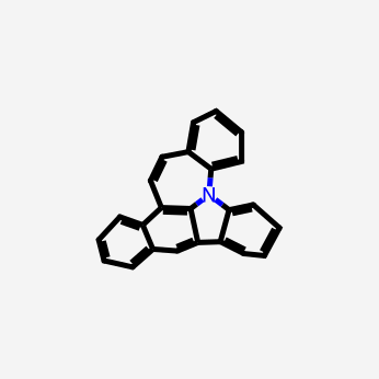 C1=Cc2c3ccccc3cc3c4ccccc4n(c23)-c2ccccc21